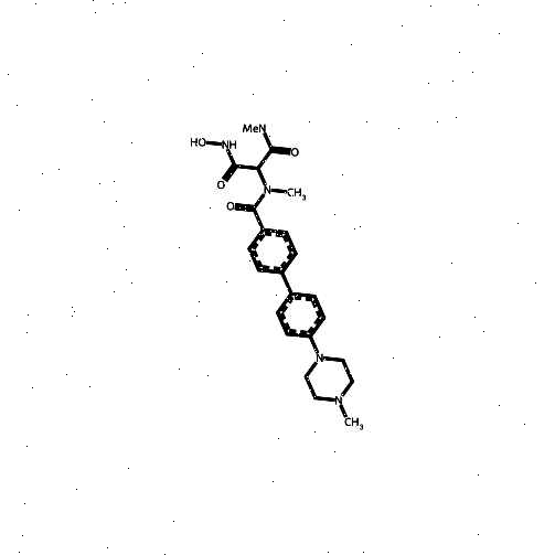 CNC(=O)C(C(=O)NO)N(C)C(=O)c1ccc(-c2ccc(N3CCN(C)CC3)cc2)cc1